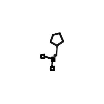 Cl[Si](Cl)=CC1CCCC1